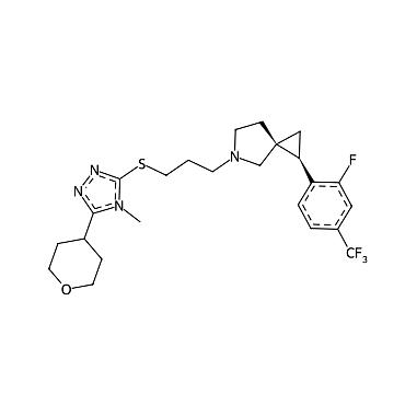 Cn1c(SCCCN2CC[C@]3(C[C@H]3c3ccc(C(F)(F)F)cc3F)C2)nnc1C1CCOCC1